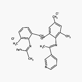 CC(=Nc1c(C)cc(C)cc1Cl)c1cccnc1.C[C]([Fe+2])=Nc1c(C)cccc1C.[Cl-].[Cl-]